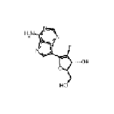 Nc1ncnn2c(C3=C(F)[C@H](O)[C@@H](CO)O3)cnc12